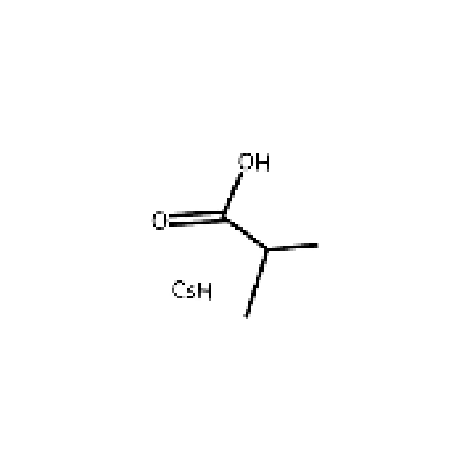 CC(C)C(=O)O.[CsH]